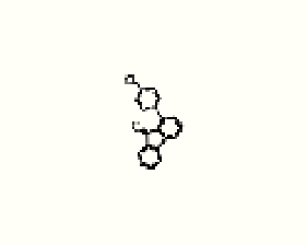 O=C1c2ccccc2-c2cccc(-c3ccc(Cl)cc3)c21